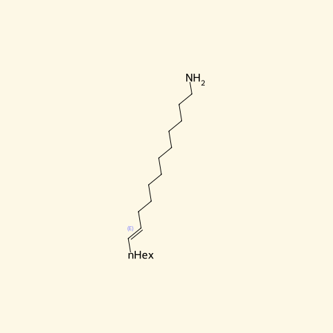 CCCCCC/C=C/CCCCCCCCCCN